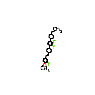 CCCC1CCC(c2ccc(C3CCC(/C=C/c4ccc(OCC)c(F)c4)CC3)c(F)c2F)CC1